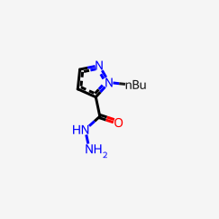 CCCCn1nccc1C(=O)NN